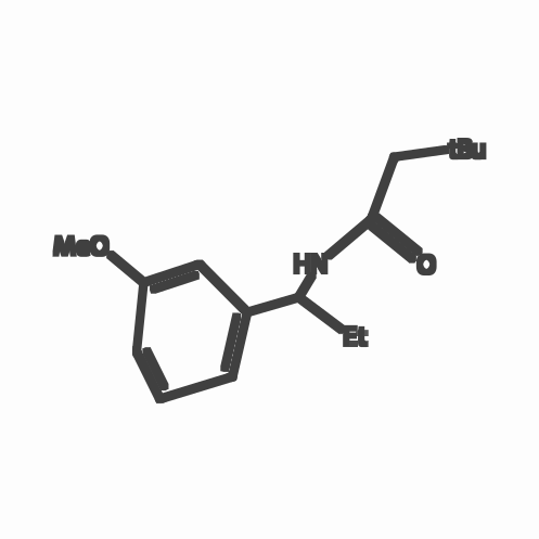 CCC(NC(=O)CC(C)(C)C)c1cccc(OC)c1